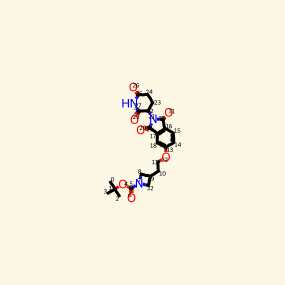 CC(C)(C)OC(=O)N1CC(CCOc2ccc3c(c2)C(=O)N(C2CCC(=O)NC2=O)C3=O)C1